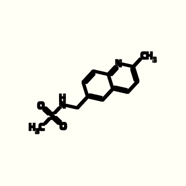 Cc1ccc2cc(CNS(C)(=O)=O)ccc2n1